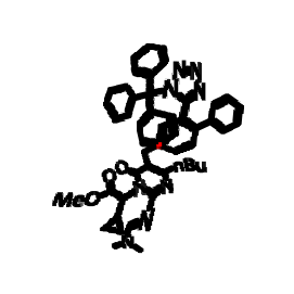 CCCCc1nc(N=CN(C)C)n(C(C(=O)OC)C2CC2)c(=O)c1Cc1ccc(-c2ccccc2)c(-c2nnnn2C(c2ccccc2)(c2ccccc2)c2ccccc2)c1